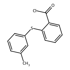 Cc1cccc(Sc2ccccc2C(=O)Cl)c1